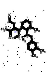 Cc1ccc(CN(C)c2c(C)cccc2/C(N=O)=C(\CC=O)C(N)=O)cc1C